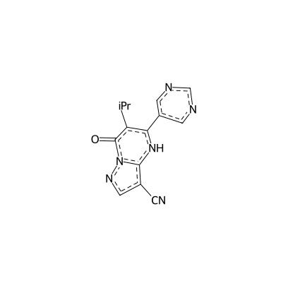 CC(C)c1c(-c2cncnc2)[nH]c2c(C#N)cnn2c1=O